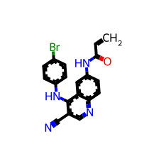 C=CC(=O)Nc1ccc2ncc(C#N)c(Nc3ccc(Br)cc3)c2c1